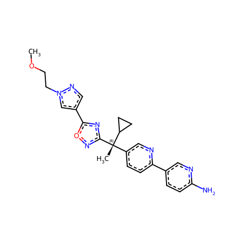 COCCn1cc(-c2nc([C@@](C)(c3ccc(-c4ccc(N)nc4)nc3)C3CC3)no2)cn1